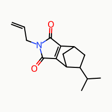 C=CCN1C(=O)C2=C(C1=O)C1CC2CC1C(C)C